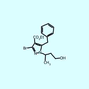 CCOC(=O)c1c(Br)nn(C(C)CCO)c1Cc1ccccc1